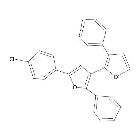 Clc1ccc(-c2cc(-c3occc3-c3ccccc3)c(-c3ccccc3)o2)cc1